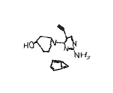 C#Cc1cnc(N)nc1N1CCC(O)CC1.c1cc2cc-2c1